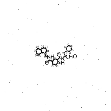 O=C[C@H](Cc1ccccc1)NC(=O)c1cc(C(=O)NCc2cccc3ccccc23)ccn1